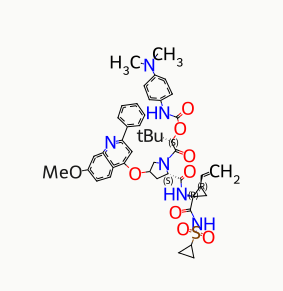 C=C[C@H]1C[C@]1(NC(=O)[C@@H]1CC(Oc2cc(-c3ccccc3)nc3cc(OC)ccc23)CN1C(=O)[C@@H](OC(=O)Nc1ccc(N(C)C)cc1)C(C)(C)C)C(=O)NS(=O)(=O)C1CC1